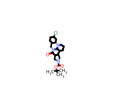 CC(C)(C)OC(=O)N1Cc2c(c3cccnc3n(Cc3ccc(Cl)cc3)c2=O)C1